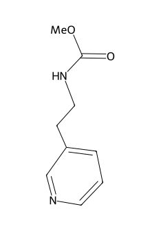 COC(=O)NCCc1cccnc1